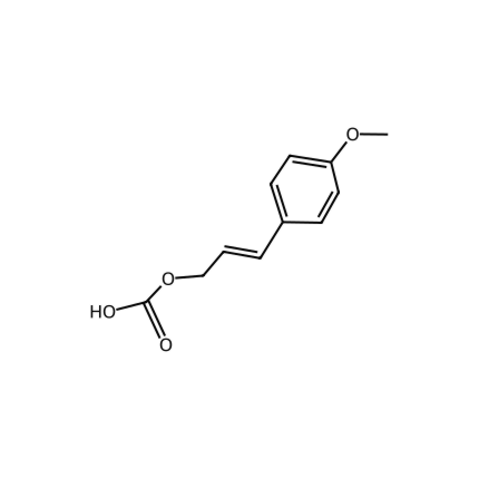 COc1ccc(C=CCOC(=O)O)cc1